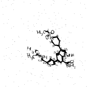 CCS(=O)(=O)N1CCC(c2c[nH]c3c(C(N)=O)cc(-c4csc(CNC(C)C)c4)cc23)CC1